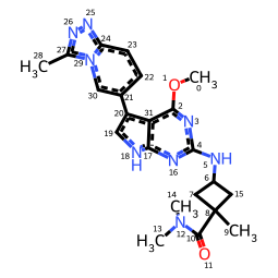 COc1nc(NC2CC(C)(C(=O)N(C)C)C2)nc2[nH]cc(-c3ccc4nnc(C)n4c3)c12